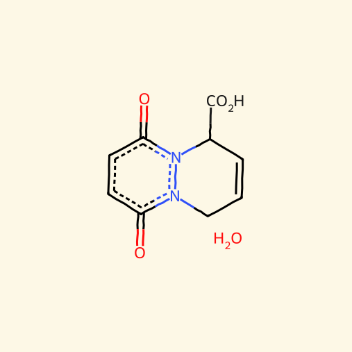 O.O=C(O)C1C=CCn2c(=O)ccc(=O)n21